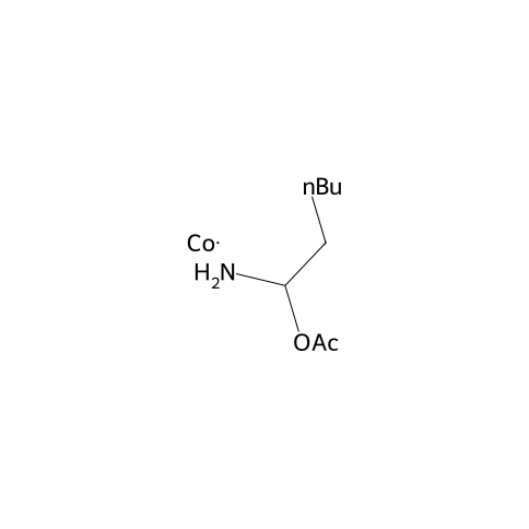 CCCCCC(N)OC(C)=O.[Co]